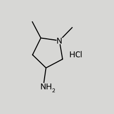 CC1CC(N)CN1C.Cl